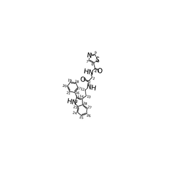 O=C(CNC(=O)c1cncs1)NCCc1c(-c2ccccc2)[nH]c2ccccc12